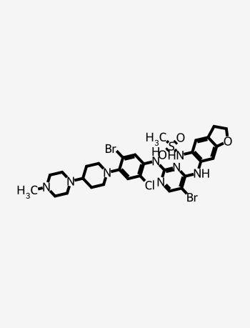 CN1CCN(C2CCN(c3cc(Cl)c(Nc4ncc(Br)c(Nc5cc6c(cc5NS(C)(=O)=O)CCO6)n4)cc3Br)CC2)CC1